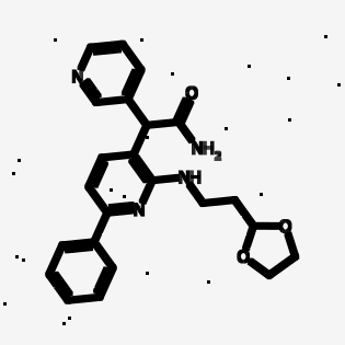 NC(=O)C(c1cccnc1)c1ccc(-c2ccccc2)nc1NCCC1OCCO1